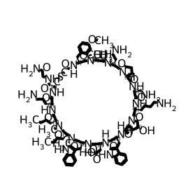 CCCC[C@H]1C(=O)N(C)[C@@H](CCCC)C(=O)N[C@@H](CCCN)C(=O)N[C@H](C(=O)NCC(N)=O)CSCC(=O)N[C@@H](Cc2ccc(OC)cc2)C(=O)N(C)[C@@H](C)C(=O)N[C@@H](CCN)C(=O)N2CCC[C@H]2C(=O)N[C@@H](CN)C(=O)N[C@@H](CCCCN)C(=O)N2C[C@H](O)C[C@H]2C(=O)N[C@@H](Cc2c[nH]c3ccccc23)C(=O)N[C@@H](CC(=O)O)C(=O)N[C@@H](Cc2c[nH]c3ccccc23)C(=O)N1C